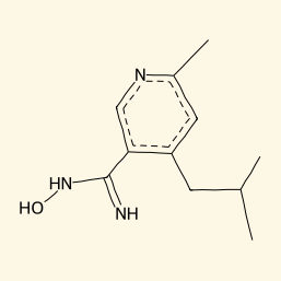 Cc1cc(CC(C)C)c(C(=N)NO)cn1